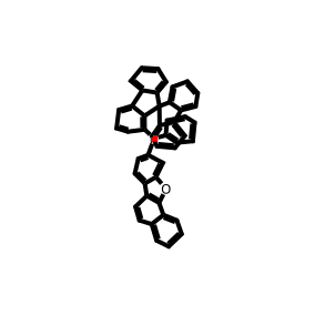 c1ccc(N(c2ccc3c(c2)oc2c4ccccc4ccc32)c2cccc3c2C2(c4ccccc4-c4ccccc42)c2ccccc2-3)cc1